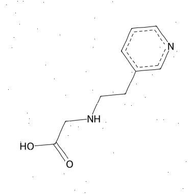 O=C(O)CNCCc1cccnc1